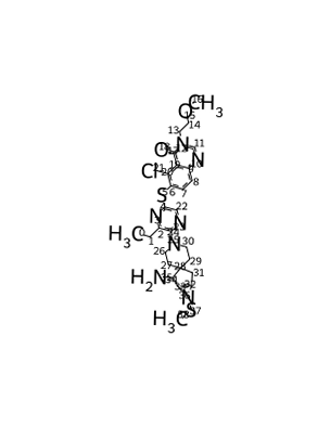 CCc1nc(Sc2ccc3ncn(CCOC)c(=O)c3c2Cl)cnc1N1CCC2(CC1)CC1=C(C2N)N1SC